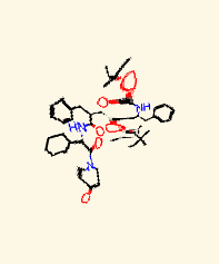 CC(C)(C)OC(=O)N[C@@H](Cc1ccccc1)[C@@H](C[C@H](Cc1ccccc1)C(=O)N[C@H](C(=O)N1CCC(=O)CC1)C1CCCCC1)O[Si](C)(C)C(C)(C)C